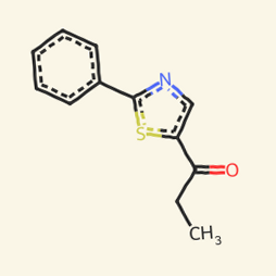 CCC(=O)c1cnc(-c2ccccc2)s1